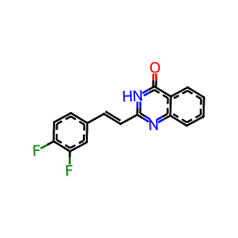 O=c1[nH]c(C=Cc2ccc(F)c(F)c2)nc2ccccc12